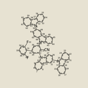 N#Cc1c(-n2c3ccccc3c3cc(-n4c5ccccc5c5ccccc54)ccc32)cc(-c2c(F)cccc2F)cc1-n1c2ccccc2c2cc(-n3c4ccccc4c4ccccc43)ccc21